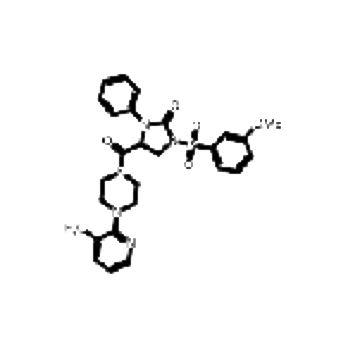 COc1cccc(S(=O)(=O)N2CC(C(=O)N3CCN(c4ncccc4C(F)(F)F)CC3)N(c3ccccc3)C2=O)c1